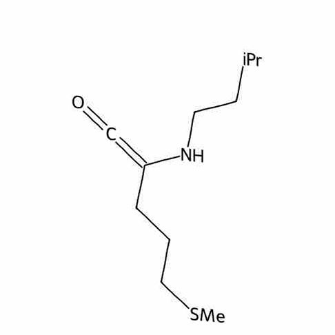 CSCCCC(=C=O)NCCC(C)C